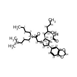 CCCCN(CCCN(C)C)C(=O)CN1C[C@H](c2ccc3c(c2)OCO3)[C@@H](C(=O)O)[C@@H]1CC(C)CCC